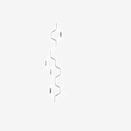 Cc1ccc(CCc2ccc3cc(-c4ccc(C)c(F)c4F)ccc3c2)cc1